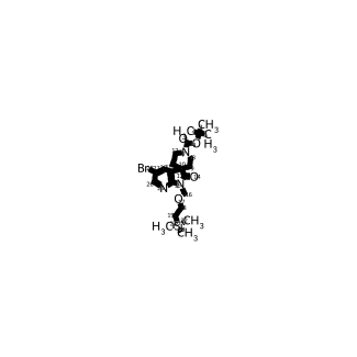 CC(C)(C)OC(=O)N1CCC2(CC1)C(=O)N(COCC[Si](C)(C)C)c1ncc(Br)cc12